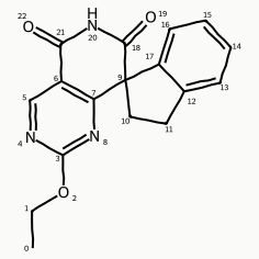 CCOc1ncc2c(n1)C1(CCc3ccccc31)C(=O)NC2=O